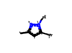 CCn1nc(C)cc1C(C)C